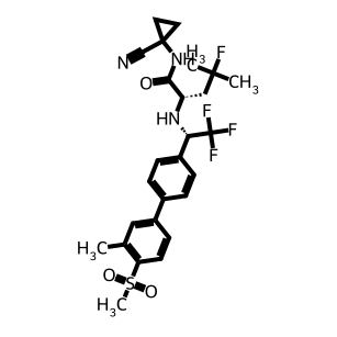 Cc1cc(-c2ccc([C@H](N[C@@H](CC(C)(C)F)C(=O)NC3(C#N)CC3)C(F)(F)F)cc2)ccc1S(C)(=O)=O